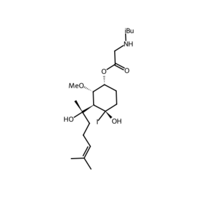 CCC(C)NCC(=O)O[C@@H]1CC[C@](O)(I)[C@@H]([C@@](C)(O)CCC=C(C)C)[C@@H]1OC